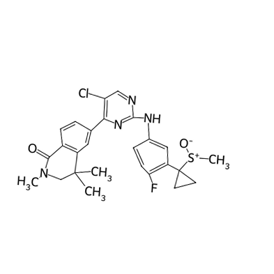 CN1CC(C)(C)c2cc(-c3nc(Nc4ccc(F)c(C5([S+](C)[O-])CC5)c4)ncc3Cl)ccc2C1=O